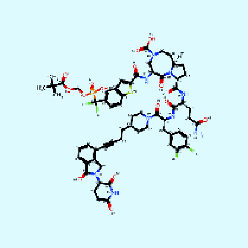 CC(C)(C)C(=O)OCOP(=O)(O)C(F)(F)c1ccc2sc(C(=O)N[C@H]3CN(C(=O)O)CC[C@H]4CC[C@@H](C(=O)N[C@@H](CCC(N)=O)C(=O)N[C@@H](Cc5ccc(F)c(F)c5)C(=O)N5CCC(CCC#Cc6cccc7c6CN(C6CCC(=O)NC6=O)C7=O)CC5)N4C3=O)cc2c1